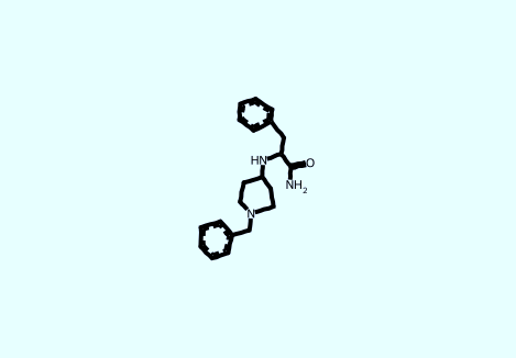 NC(=O)C(Cc1ccccc1)NC1CCN(Cc2ccccc2)CC1